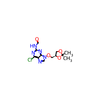 CC1(C)OC[C@H](COn2cnc3c(Cl)nc(NC=O)nc32)O1